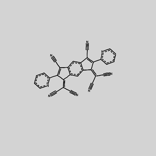 N#CC(C#N)=C1C(c2ccccn2)=C(C#N)c2cc3c(cc21)C(=C(C#N)C#N)C(c1ccccn1)=C3C#N